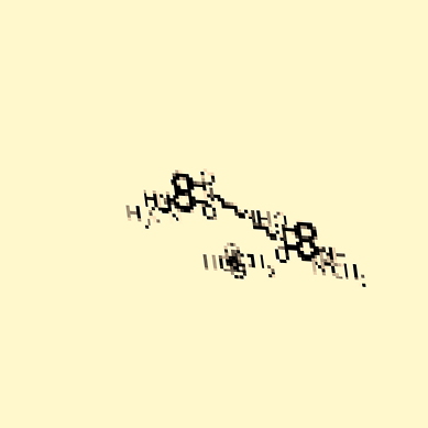 CS(=O)(=O)O.Cc1nc2cc3c4c(cccc4c2[nH]1)C(=O)N(CCCCNCCCN1C(=O)c2cccc4c2c(cc2nc(C)[nH]c24)C1=O)C3=O